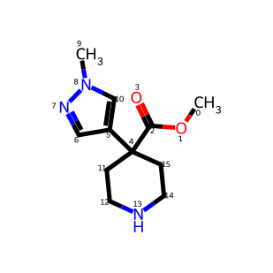 COC(=O)C1(c2cnn(C)c2)CCNCC1